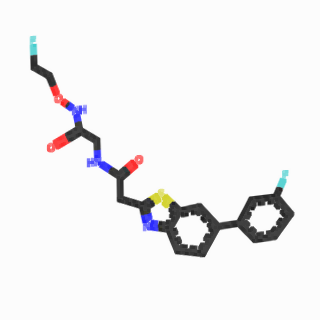 O=C(Cc1nc2ccc(-c3cccc(F)c3)cc2s1)NCC(=O)NOCCF